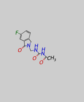 CC(=O)NC(=O)NCN1Cc2ccc(F)cc2C1=O